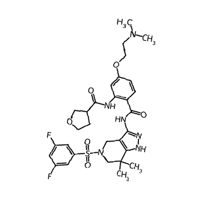 CN(C)CCOc1ccc(C(=O)Nc2n[nH]c3c2CN(S(=O)(=O)c2cc(F)cc(F)c2)CC3(C)C)c(NC(=O)C2CCOC2)c1